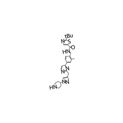 Cc1cc(-c2ccnc(Cc3cnn(C4CCNCC4)c3)n2)ccc1CNC(=O)c1cnc(C(C)(C)C)s1